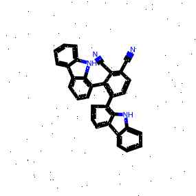 N#Cc1ccc(-c2cccc3c2[nH]c2ccccc23)c(-c2cccc3c2[nH]c2ccccc23)c1C#N